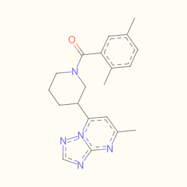 Cc1ccc(C)c(C(=O)N2CCCC(c3cc(C)nc4ncnn34)C2)c1